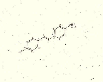 Nc1ccc(C=Cc2ccc(F)cc2)cc1